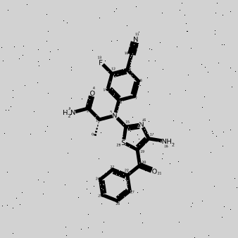 C[C@H](C(N)=O)N(c1ccc(C#N)c(F)c1)c1nc(N)c(C(=O)c2ccccc2)s1